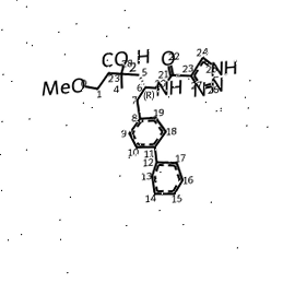 COCCC(C)(C[C@@H](Cc1ccc(-c2ccccc2)cc1)NC(=O)c1c[nH]nn1)C(=O)O